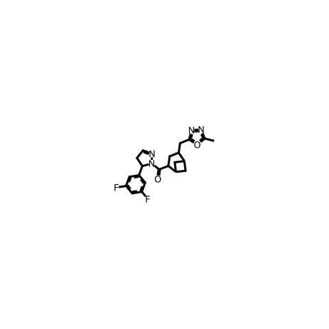 Cc1nnc(CC2CC(C(=O)N3N=CCC3c3cc(F)cc(F)c3)C3CC2C3)o1